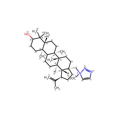 C=C(C)[C@@H]1CC[C@]2(C[N+]3(C(=O)[O-])C=CN=N3)CC[C@]3(C)[C@H](CCC4[C@@]5(C)CCC(O)C(C)(C)[C@@H]5CC[C@]43C)[C@@H]12